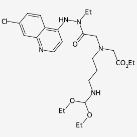 CCOC(=O)CN(CCCNC(OCC)OCC)CC(=O)N(CC)Nc1ccnc2cc(Cl)ccc12